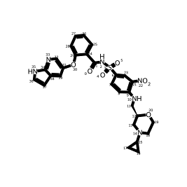 O=C(NS(=O)(=O)c1ccc(NC[C@@H]2CN(C3CC3)CCO2)c([N+](=O)[O-])c1)c1ccccc1Oc1cnc2[nH]ccc2c1